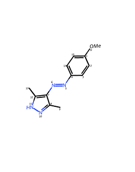 COc1ccc(N=Nc2c(C)n[nH]c2C)cc1